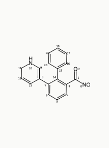 O=NC(=O)c1cccc(C2=CNCC=C2)c1-c1ccccc1